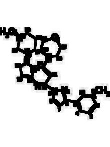 Cc1cccc(-c2ccn(C3=NC4=CCN([C@H]5CCCN(C)C5)N4C(N4CCOCC4)=C3)n2)c1